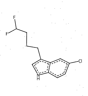 FC(F)C[CH]Cc1c[nH]c2ccc(Cl)cc12